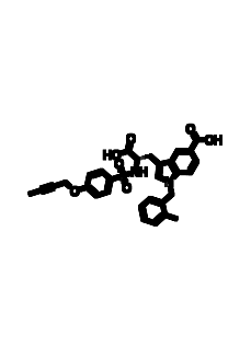 CC#CCOc1ccc(S(=O)(=O)N[C@@H](Cc2cn(Cc3ccccc3C)c3ccc(C(=O)O)cc23)C(=O)O)cc1